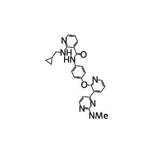 CNc1nccc(-c2cccnc2Oc2ccc(NC(=O)c3cccnc3NCC3CC3)cc2)n1